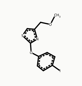 COCc1csc(Oc2ccc(I)cc2)n1